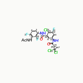 CC(=O)Nc1c(F)ccc(NC(=O)c2cc(NC(=O)[C@H]3CC3(Cl)Cl)cc(F)c2Cl)c1F